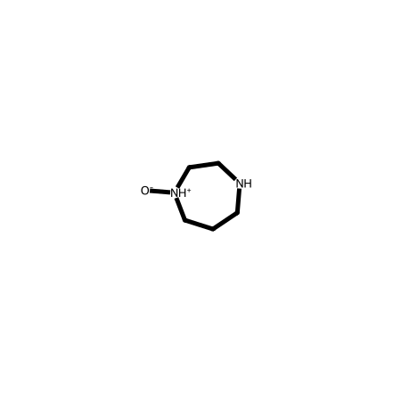 [O-][NH+]1CCCNCC1